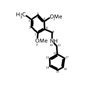 COc1cc(C)cc(OC)c1CNCc1ccccc1